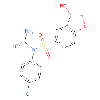 NC(=O)N(c1ccc(Cl)cc1)S(=O)(=O)c1ccc2c(c1)C(O)CO2